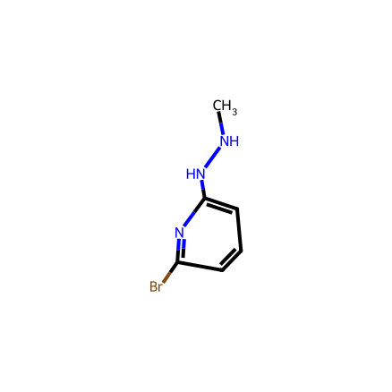 CNNc1cccc(Br)n1